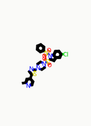 Cc1cc(-c2cnc(N3CCN(S(=O)(=O)c4cc5cc(Cl)ccc5n4S(=O)(=O)c4ccccc4)CC3)s2)ccn1